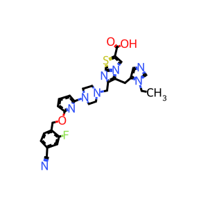 CCn1cncc1Cc1c(CN2CCN(c3cccc(OCc4ccc(C#N)cc4F)n3)CC2)nc2sc(C(=O)O)cn12